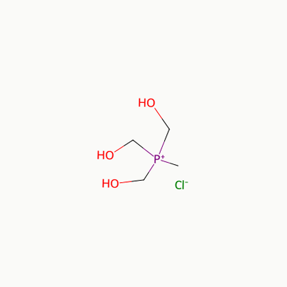 C[P+](CO)(CO)CO.[Cl-]